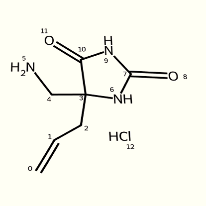 C=CCC1(CN)NC(=O)NC1=O.Cl